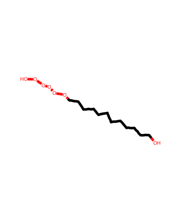 OCCCCCCCCCCCCOOOOOO